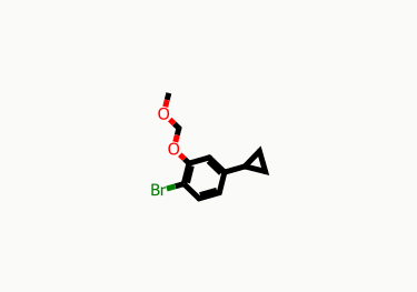 COCOc1cc(C2CC2)ccc1Br